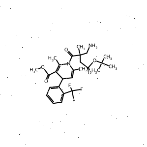 COC(=O)C1=C(C)N(C(=O)C(C)(CN)CC(=O)OC(C)(C)C)C(C)=CC1c1ccccc1C(F)(F)F